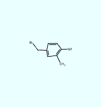 Cc1cc(CBr)ccc1S